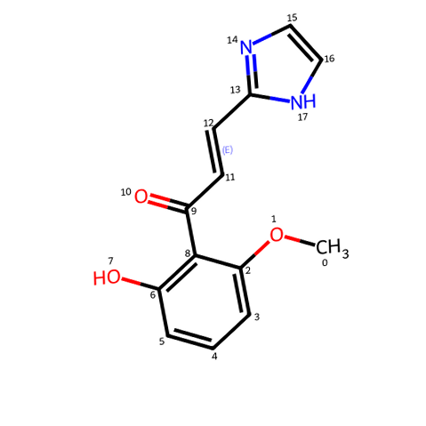 COc1cccc(O)c1C(=O)/C=C/c1ncc[nH]1